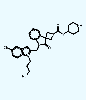 N#CCCCn1c(CN2C(=O)C3(CN(C(=O)NC4CCNCC4)C3)c3ccccc32)cc2cc(Cl)ccc21